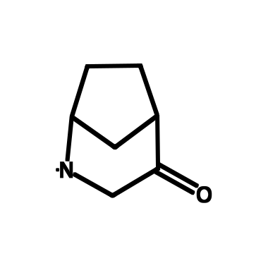 O=C1C[N]C2CCC1C2